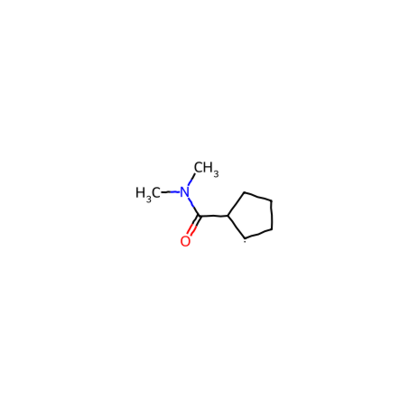 CN(C)C(=O)C1[CH]CCC1